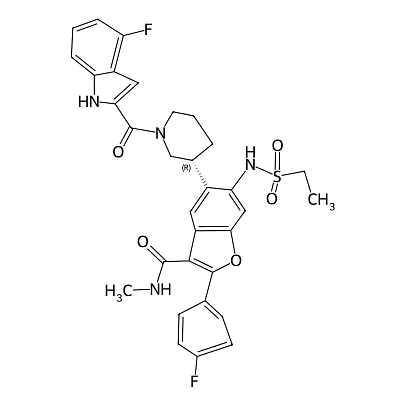 CCS(=O)(=O)Nc1cc2oc(-c3ccc(F)cc3)c(C(=O)NC)c2cc1[C@H]1CCCN(C(=O)c2cc3c(F)cccc3[nH]2)C1